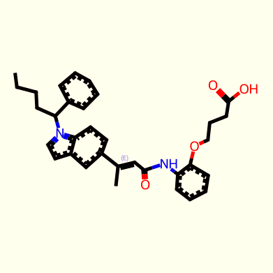 CCCCC(c1ccccc1)n1ccc2cc(/C(C)=C/C(=O)Nc3ccccc3OCCCC(=O)O)ccc21